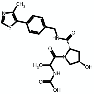 Cc1ncsc1-c1ccc(CNC(=O)[C@@H]2C[C@@H](O)CN2C(=O)C(C)NC(=O)O)cc1